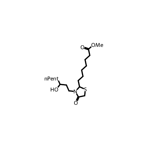 CCCCCC(O)CCN1C(=O)CSC1CCCCCCC(=O)OC